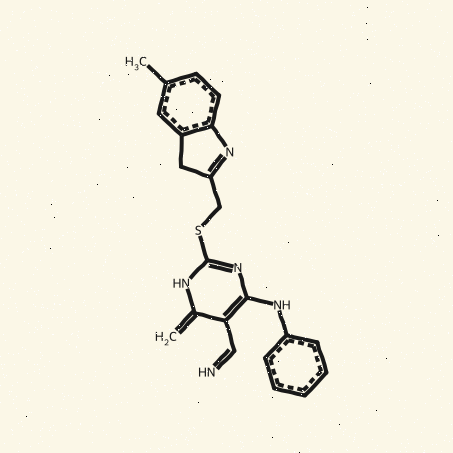 C=C1NC(SCC2=Nc3ccc(C)cc3C2)=NC(Nc2ccccc2)=C1C=N